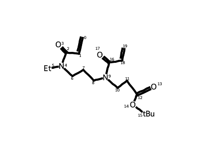 C=CC(=O)N(CC)CCCN(CCC(=O)OC(C)(C)C)C(=O)C=C